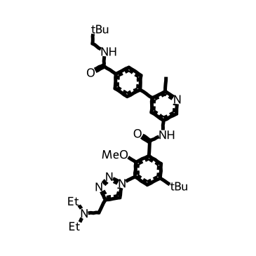 CCN(CC)Cc1cn(-c2cc(C(C)(C)C)cc(C(=O)Nc3cnc(C)c(-c4ccc(C(=O)NCC(C)(C)C)cc4)c3)c2OC)nn1